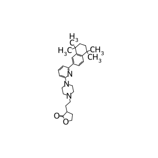 CC1(C)CCC(C)(C)c2cc(-c3cccc(N4CCN(CCC5CCOC5=O)CC4)n3)ccc21